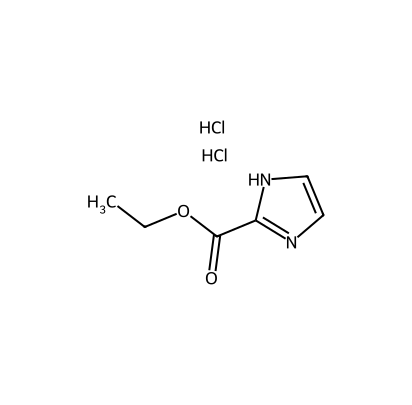 CCOC(=O)c1ncc[nH]1.Cl.Cl